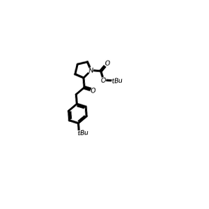 CC(C)(C)OC(=O)N1CCCC1C(=O)Cc1ccc(C(C)(C)C)cc1